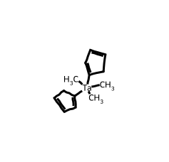 [CH3][Ta]([CH3])([CH3])([C]1=CC=CC1)[C]1=CC=CC1